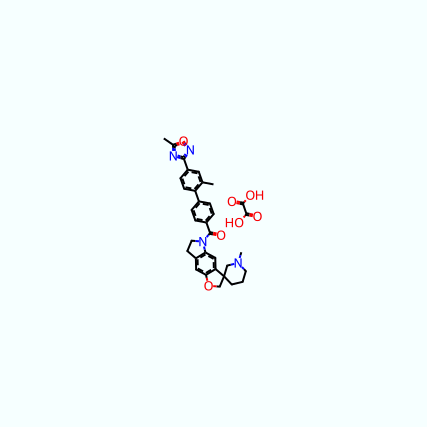 Cc1nc(-c2ccc(-c3ccc(C(=O)N4CCc5cc6c(cc54)C4(CCCN(C)C4)CO6)cc3)c(C)c2)no1.O=C(O)C(=O)O